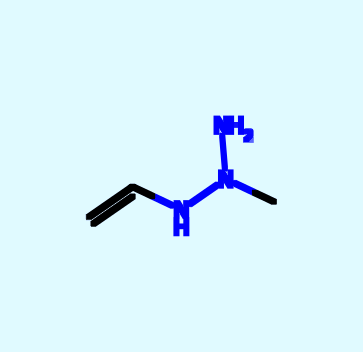 C=CNN(C)N